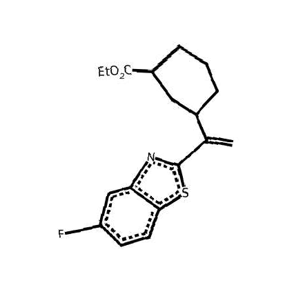 C=C(c1nc2cc(F)ccc2s1)C1CCCC(C(=O)OCC)C1